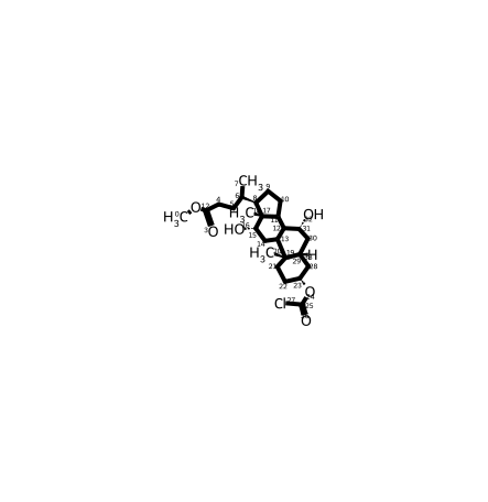 COC(=O)CCC(C)[C@H]1CCC2C3C(C[C@H](O)[C@@]21C)[C@@]1(C)CC[C@@H](OC(=O)Cl)C[C@H]1C[C@H]3O